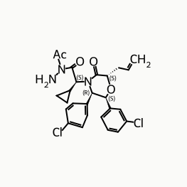 C=CC[C@@H]1O[C@@H](c2cccc(Cl)c2)[C@@H](c2ccc(Cl)cc2)N([C@H](C(=O)N(N)C(C)=O)C2CC2)C1=O